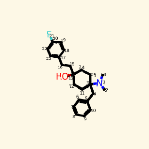 CN(C)C1(Cc2ccccc2)CCC(O)(CCc2ccc(F)cc2)CC1